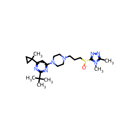 Cc1nnc([S+]([O-])CCCN2CCN(c3cc(C4(C)CC4)nc(C(C)(C)C)n3)CC2)n1C